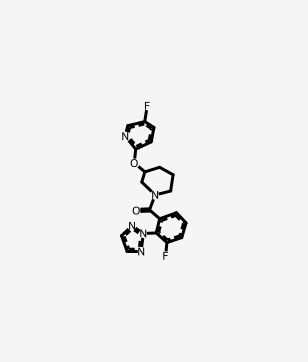 O=C(c1cccc(F)c1-n1nccn1)N1CCCC(Oc2ccc(F)cn2)C1